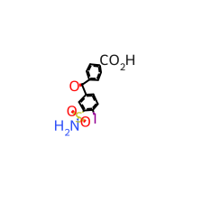 NS(=O)(=O)c1cc(C(=O)c2ccc(C(=O)O)cc2)ccc1I